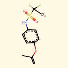 C=C(C)Oc1ccc(NS(=O)(=O)C(F)(F)C(F)(F)F)cc1